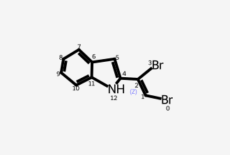 Br/C=C(\Br)c1cc2ccccc2[nH]1